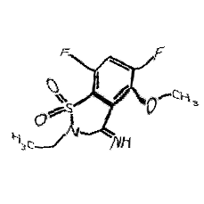 CCN1C(=N)c2c(OC)c(F)cc(F)c2S1(=O)=O